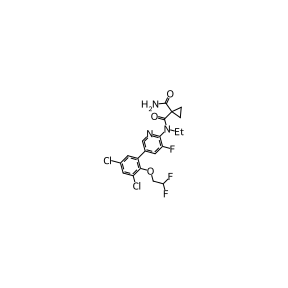 CCN(C(=O)C1(C(N)=O)CC1)c1ncc(-c2cc(Cl)cc(Cl)c2OCC(F)F)cc1F